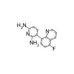 Nc1ccc(-c2ccc(F)c3cccnc23)c(N)n1